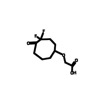 O=C(O)COC1CCCC(=O)C(F)(F)CC1